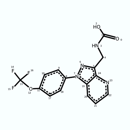 O=C(O)NCc1nn(-c2ccc(OC(F)(F)F)cc2)c2cccnc12